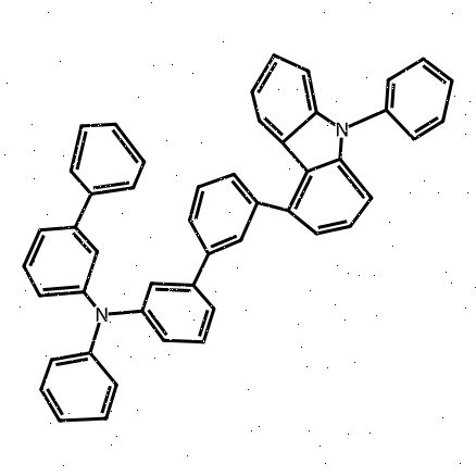 c1ccc(-c2cccc(N(c3ccccc3)c3cccc(-c4cccc(-c5cccc6c5c5ccccc5n6-c5ccccc5)c4)c3)c2)cc1